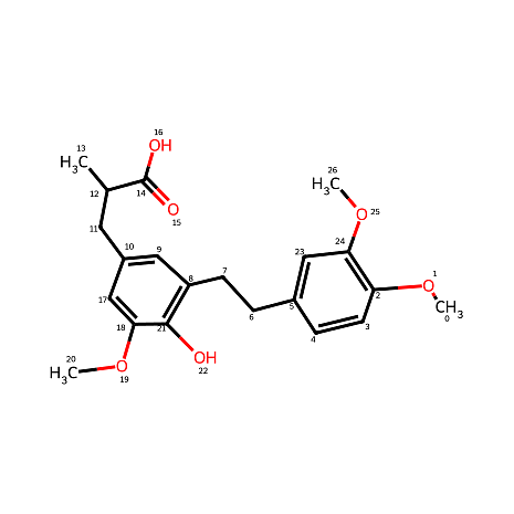 COc1ccc(CCc2cc(CC(C)C(=O)O)cc(OC)c2O)cc1OC